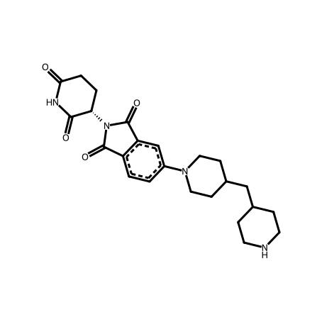 O=C1CC[C@H](N2C(=O)c3ccc(N4CCC(CC5CCNCC5)CC4)cc3C2=O)C(=O)N1